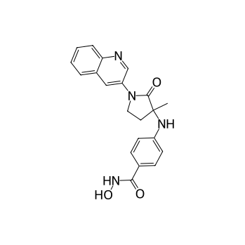 CC1(Nc2ccc(C(=O)NO)cc2)CCN(c2cnc3ccccc3c2)C1=O